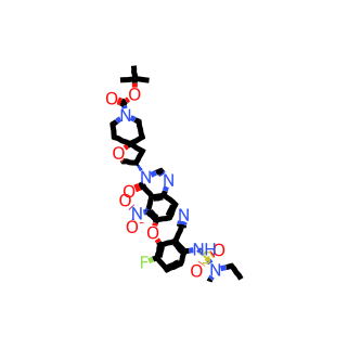 CCN(C)S(=O)(=O)Nc1ccc(F)c(Oc2ccc3ncn([C@H]4COC5(CCN(C(=O)OC(C)(C)C)CC5)C4)c(=O)c3c2[N+](=O)[O-])c1C#N